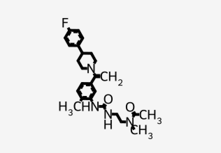 C=C(c1ccc(C)c(NC(=O)NCCN(C)C(C)=O)c1)N1CCC(c2ccc(F)cc2)CC1